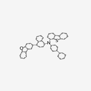 c1ccc(-c2ccc(N(c3ccc(-c4ccc5oc6ccccc6c5c4)c4ccccc34)c3cccc4c3sc3ccccc34)cc2)cc1